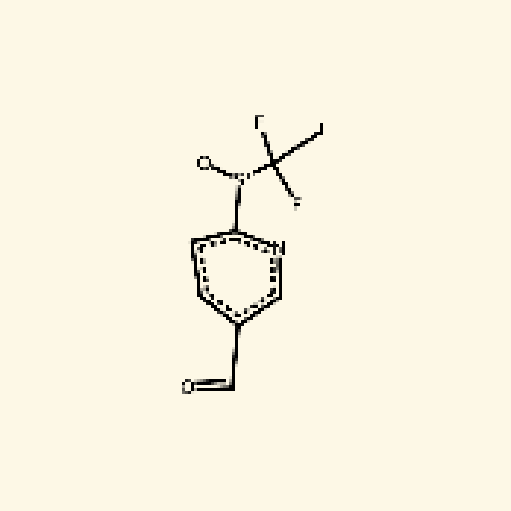 O=Cc1ccc([S+]([O-])C(F)(F)F)nc1